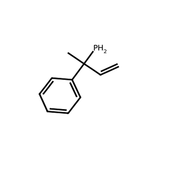 C=CC(C)(P)c1ccccc1